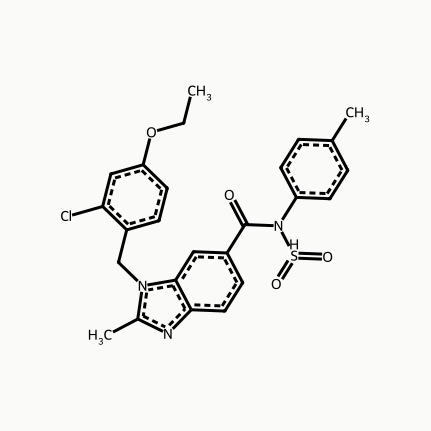 CCOc1ccc(Cn2c(C)nc3ccc(C(=O)N(c4ccc(C)cc4)[SH](=O)=O)cc32)c(Cl)c1